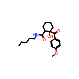 CCCCCNC(=O)C1CCCCC1(O)C(=O)c1ccc(OC)cc1